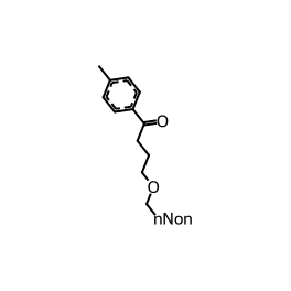 CCCCCCCCCCOCCCC(=O)c1ccc(C)cc1